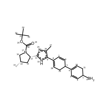 BC1C=CC(C2C=CC(c3[nH]c([C@@H]4C[C@H](C)CN4C(=O)OC(C)(C)C)nc3C)=CC2)=CC1